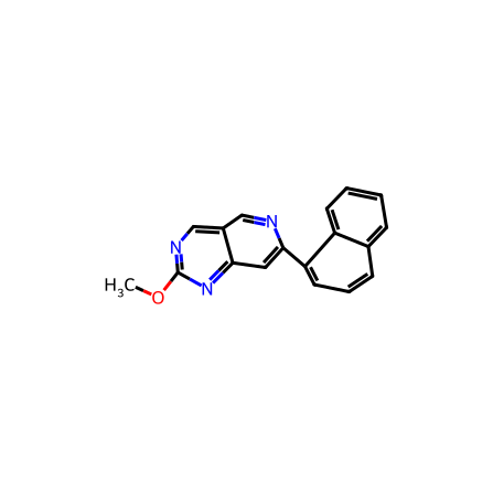 COc1ncc2cnc(-c3cccc4ccccc34)cc2n1